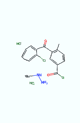 CC(C)(C)NN.Cc1ccc(C(=O)Cl)cc1C(=O)c1ccccc1Cl.Cl.Cl